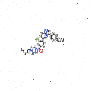 CN1CCN(C(=O)c2ccc(C3=CN4C(=NCC4c4ccc(C#N)cc4)C=C3)c(F)c2)CC1